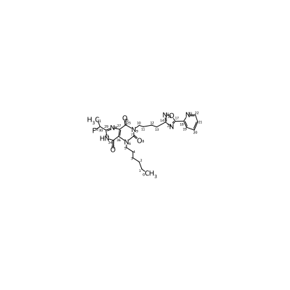 CCCCCCn1c(=O)n(CCCCc2noc(-c3ccccn3)n2)c(=O)c2nc(C(C)F)[nH]c(=O)c21